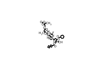 C#C[C@]1(COC(=O)C2CC3(CCC3)C2)O[C@@H](n2cnc3c(NC(=O)OC(C)(C)CC(=O)OCc4oc(=O)oc4C)nc(F)nc32)C[C@@H]1OC(=O)C1CCCCC1